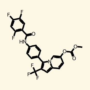 COC(=O)Oc1ccc2cc(C(F)(F)F)c(-c3ccc(NC(=O)c4cc(F)c(F)cc4F)cc3)n2c1